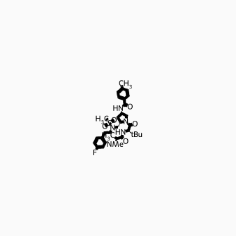 CN[C@@H](C)C(=O)N[C@H](C(=O)N1C[C@@H](NC(=O)c2ccc(C)cc2)C[C@H]1CN(CCc1ccc(F)cc1)S(C)(=O)=O)C(C)(C)C